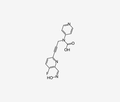 O=C(O)N(CC#Cc1ccc(F)c(/C=N\O)n1)c1ccncc1